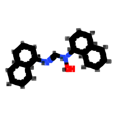 ON(/C=N/c1cccc2ccccc12)c1cccc2ccccc12